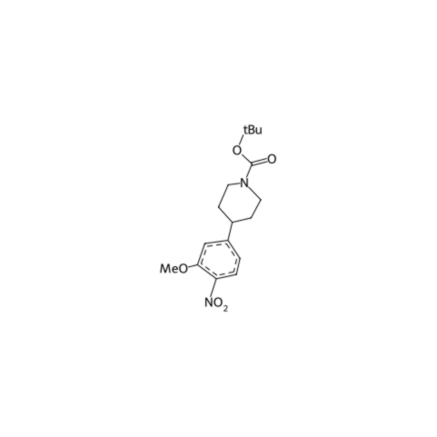 COc1cc(C2CCN(C(=O)OC(C)(C)C)CC2)ccc1[N+](=O)[O-]